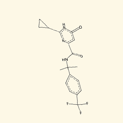 CC(C)(NC(=O)c1cc(=O)[nH]c(C2CC2)n1)c1ccc(C(F)(F)F)cc1